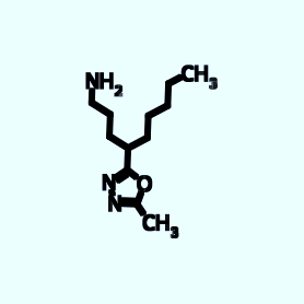 CCCCCC(CCCN)c1nnc(C)o1